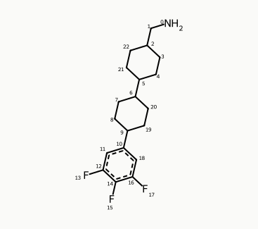 NCC1CCC(C2CCC(c3cc(F)c(F)c(F)c3)CC2)CC1